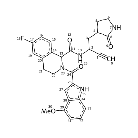 C#CC(CC1CCNC1=O)NC(=O)C1c2ccc(F)cc2CCN1C(=O)c1cc2c(OC)cccc2[nH]1